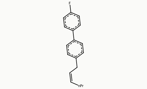 CCC/C=C\Cc1ccc(-c2ccc(F)cc2)cc1